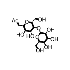 CC(=O)C[C@H]1O[C@H](CO)[C@@H](O[C@@H]2O[C@H](CO)[C@H](O)[C@H](O)[C@H]2O)[C@H](O)[C@H]1O